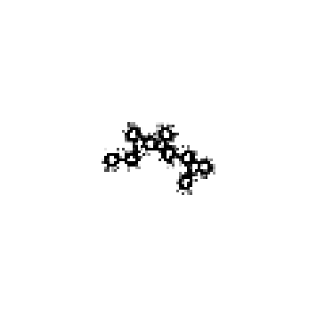 c1ccc(-c2cccc(-n3c4ccccc4c4cc5c(cc43)-c3ccc(-c4ccc6c7ccccc7n(-c7ccccc7)c6c4)cc3C53CCCCC3)c2)cc1